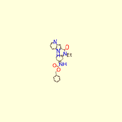 CCN(C(=O)c1cc2ncccc2[nH]1)[C@H]1CCC[C@@H](NC(=O)OCc2ccccc2)C1